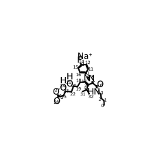 CCCCNC(=O)c1nn(-c2ccc(F)cc2)c(CC[C@@H](O)C[C@@H](O)CC(=O)[O-])c1C(C)C.[Na+]